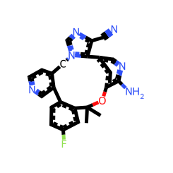 CC1(C)Oc2cc(cnc2N)-c2c(C#N)ncn2Cc2ccncc2-c2ccc(F)cc21